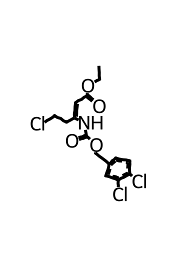 CCOC(=O)/C=C(/CCCl)NC(=O)OCc1ccc(Cl)c(Cl)c1